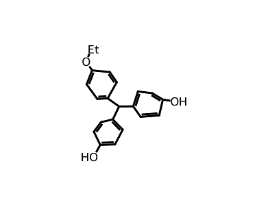 CCOc1ccc(C(c2ccc(O)cc2)c2ccc(O)cc2)cc1